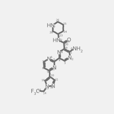 Nc1ncc(-c2nccc(-c3cnn(CC(F)(F)F)c3)n2)nc1C(=O)NC1CCCNC1